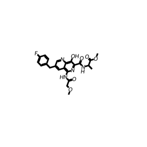 COCC(=O)Nc1nc(C(=O)NC(C)C(=O)OC)c(O)c2ncc(Cc3ccc(F)cc3)cc12